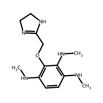 CNc1ccc(NC)c(OCC2=NCCN2)c1NC